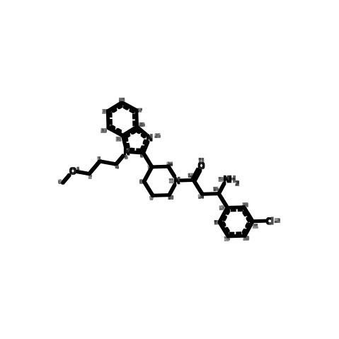 COCCCn1c(C2CCCN(C(=O)CC(N)c3cccc(Cl)c3)C2)nc2ccccc21